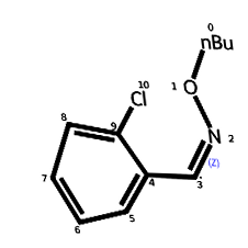 CCCCO/N=[C]\c1ccccc1Cl